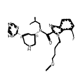 COCCCCn1c(C(=O)N(CC(C)C)[C@@H]2CNC[C@H](c3nnc[nH]3)C2)nc2cccc(F)c21